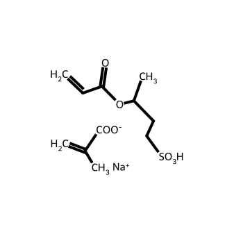 C=C(C)C(=O)[O-].C=CC(=O)OC(C)CCS(=O)(=O)O.[Na+]